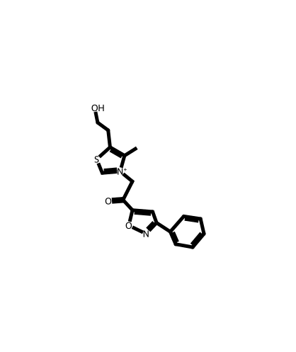 Cc1c(CCO)sc[n+]1CC(=O)c1cc(-c2ccccc2)no1